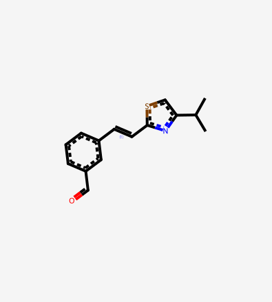 CC(C)c1csc(/C=C/c2cccc(C=O)c2)n1